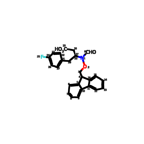 O=CN(OCC1c2ccccc2-c2ccccc21)[C@H](CC(=O)O)Cc1ccc(F)cc1